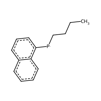 CCCC[P]c1cccc2ccccc12